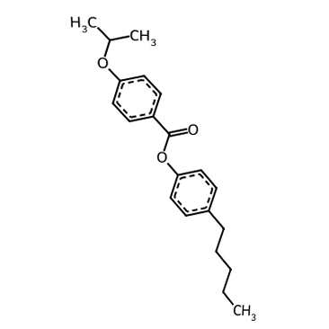 CCCCCc1ccc(OC(=O)c2ccc(OC(C)C)cc2)cc1